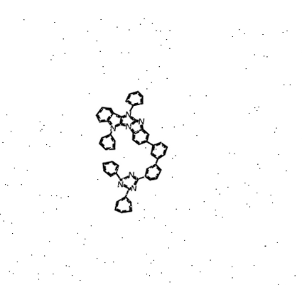 c1ccc(-c2nc(-c3ccccc3)nc(-c3cccc(-c4cccc(-c5ccc6c(c5)nc5n(-c7ccccc7)c7c8ccccc8n(-c8ccccc8)c7n65)c4)c3)n2)cc1